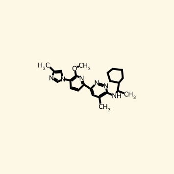 COc1nc(-c2cc(C)c(NC(C)C3CCCCC3)nn2)ccc1-n1cnc(C)c1